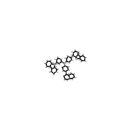 c1cc(N(c2ccc(-c3cccc4ccccc34)cc2)c2ccc(-c3cccc4c3oc3ccccc34)cc2)cc(-n2c3ccccc3c3ccccc32)c1